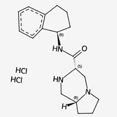 Cl.Cl.O=C(N[C@@H]1CCCc2ccccc21)[C@@H]1CN2CCC[C@@H]2CN1